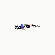 Br.CCCCCCCCCCCCCCOc1ccc(OCC(=O)Nc2ccc(CN3CSC=C3C)cc2)c(Cl)c1